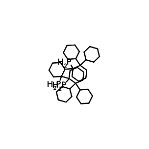 PC1(C2CCCCC2(P)C2(P)CCCCC2(C2CCCCC2)C2CCCCC2)CCCCC1(C1CCCCC1)C1CCCCC1